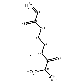 C=CC(=O)OCCOC(=O)C(C)C(=O)O